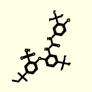 CCC(C)(C)c1ccc(Oc2ccc(C(F)(F)F)cc2NC(=O)Nc2ccc(Cl)c(C(F)(F)F)c2)c(S(=O)(=O)O)c1